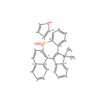 C[Si]1(C)C2=C(c3ccccc31)c1c(ccc3ccccc13)P(=O)(c1ccoc1)c1ccccc12